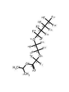 CC(C)OC(=O)C(F)(F)OC(F)(F)C(F)(F)OC(F)(F)C(F)(F)C(F)(F)C(F)(F)F